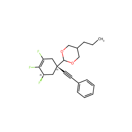 CCCC1COC([C@@]2(C#Cc3ccccc3)CC(F)=C(F)[C@H](F)C2)OC1